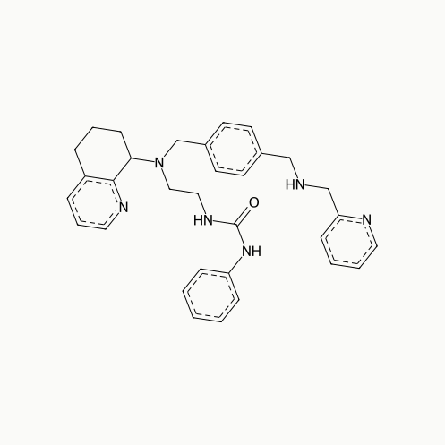 O=C(NCCN(Cc1ccc(CNCc2ccccn2)cc1)C1CCCc2cccnc21)Nc1ccccc1